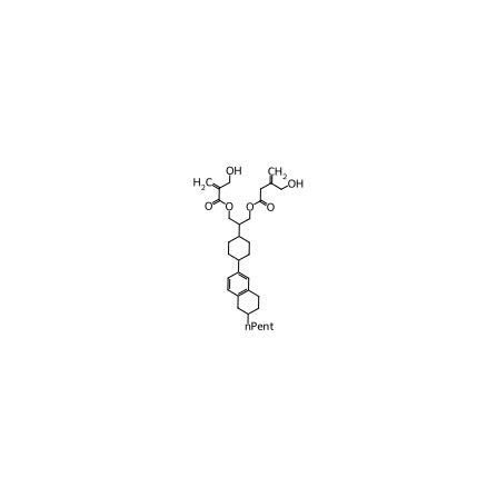 C=C(CO)CC(=O)OCC(COC(=O)C(=C)CO)C1CCC(c2ccc3c(c2)CCC(CCCCC)C3)CC1